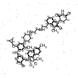 Cc1ccc2c(P(C)(C)=O)c(Nc3nc(Nc4cc(C)c(N5CCC(NCCNCCc6cccc7c6n(C)c(=O)n7C6CCC(=O)NC6=O)CC5)cc4OC4CC4)ncc3Br)ccc2n1